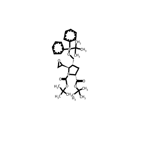 CC(C)(C)OC(=O)[C@H]1C[C@@H](CO[Si](c2ccccc2)(c2ccccc2)C(C)(C)C)[C@H](C2CO2)N1C(=O)OC(C)(C)C